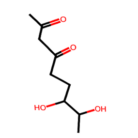 CC(=O)CC(=O)CCC(O)C(C)O